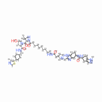 Cc1ncsc1-c1ccc(CNC(=O)[C@@H]2C[C@@H](O)CN2C(=O)[C@@H](NC(=O)CCCCCCCCCNC(=O)CC2CCN(Cc3nc4cc(NC(=O)c5ccc6c(cnn6C)c5)ccc4[nH]3)C2)C(C)(C)C)cc1